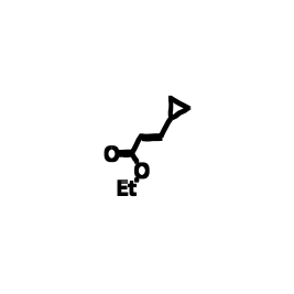 CCOC(=O)C=CC1CC1